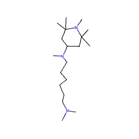 CN(C)CCCCCCN(C)C1CC(C)(C)N(C)C(C)(C)C1